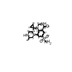 CC1CN(c2cc(S(N)(=O)=O)cc3c2N(C2(C)CC2)CNC3=O)CCN1